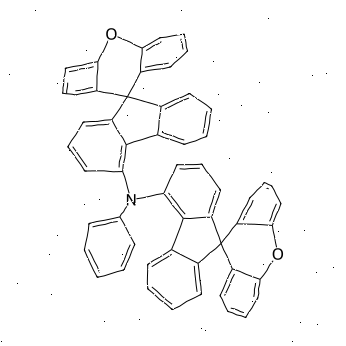 c1ccc(N(c2cccc3c2-c2ccccc2C32c3ccccc3Oc3ccccc32)c2cccc3c2-c2ccccc2C32c3ccccc3Oc3ccccc32)cc1